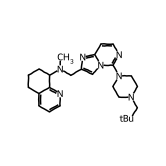 CN(Cc1cn2c(N3CCN(CC(C)(C)C)CC3)nccc2n1)C1CCCc2cccnc21